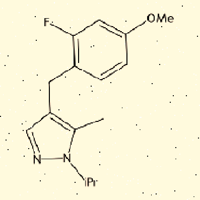 COc1ccc(Cc2cnn(C(C)C)c2C)c(F)c1